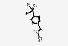 FC(F)(F)c1ccc(COCl)cc1